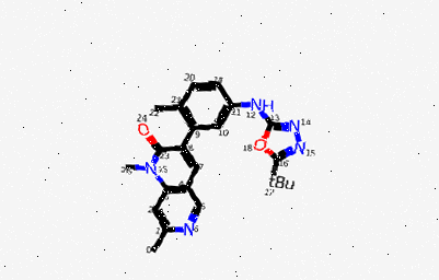 Cc1cc2c(cn1)cc(-c1cc(Nc3nnc(C(C)(C)C)o3)ccc1C)c(=O)n2C